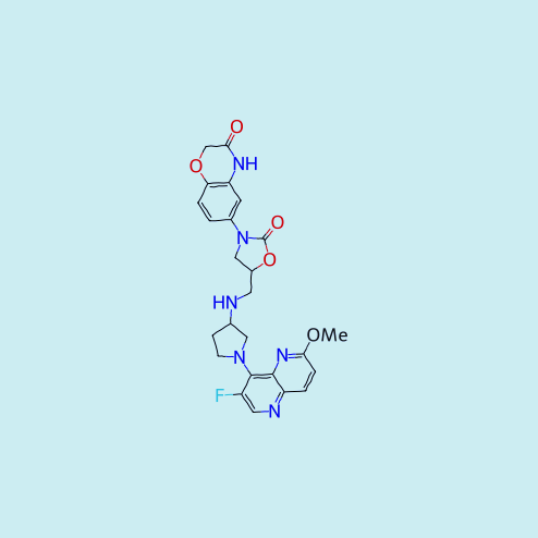 COc1ccc2ncc(F)c(N3CCC(NCC4CN(c5ccc6c(c5)NC(=O)CO6)C(=O)O4)C3)c2n1